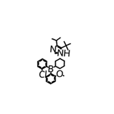 CC(C)c1nc[nH]c1C(C)(C)C.COc1ccccc1B(c1ccccc1Cl)C1CCCCC1